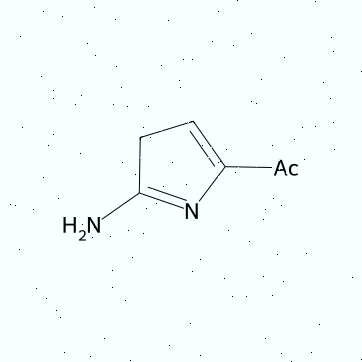 CC(=O)C1=CCC(N)=N1